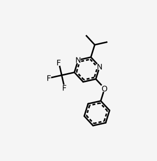 CC(C)c1nc(Oc2ccccc2)cc(C(F)(F)F)n1